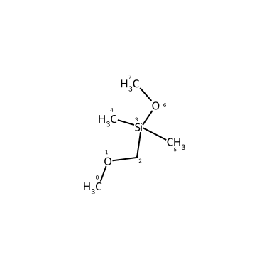 COC[Si](C)(C)OC